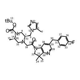 Cc1cncn1C[C@@H]1CN(C(=O)OC(C)(C)C)[C@H](C)CN1CC(=O)N1CC(C)(C)c2ncc(Cc3ccc(F)cc3)cc21